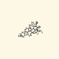 Cc1c(-c2[nH]c3ccc(C4CCNCC4)cc3c2C(C)C)cn(C)c(=O)c1C#N